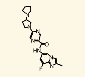 Cc1cn2cc(NC(=O)c3cnc(N4CCC(N5CCCC5)C4)cn3)cc(F)c2n1